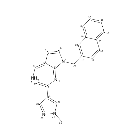 C=C(/N=C1\C(=C/N)N=NN1Cc1ccc2ncccc2c1)c1cnn(C)c1